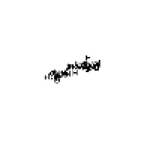 COc1cc(CC(=O)NCC(C)CCc2ncn(CC(NC(C)=O)C(=O)O)n2)ccc1NC(=O)Nc1ccccc1C